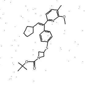 COc1nc(C(=CC2CCCC2)c2ccc(SC3CN(C(=O)OC(C)(C)C)C3)cc2)ccc1C